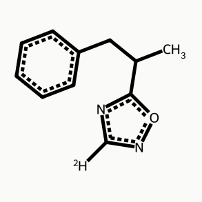 [2H]c1noc(C(C)Cc2ccccc2)n1